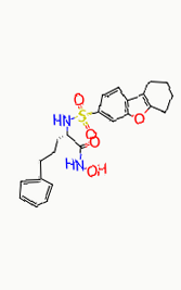 O=C(NO)[C@H](CCCc1ccccc1)NS(=O)(=O)c1ccc2c3c(oc2c1)CCCC3